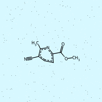 COC(=O)c1ccc(C#N)c(C)n1